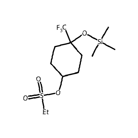 CCS(=O)(=O)OC1CCC(O[Si](C)(C)C)(C(F)(F)F)CC1